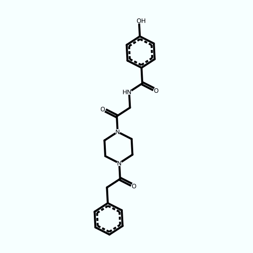 O=C(NCC(=O)N1CCN(C(=O)Cc2ccccc2)CC1)c1ccc(O)cc1